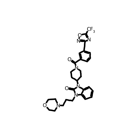 O=C(c1cccc(-c2noc(C(F)(F)F)n2)c1)N1CCC(n2c(=O)n(CCCN3CCOCC3)c3ccccc32)CC1